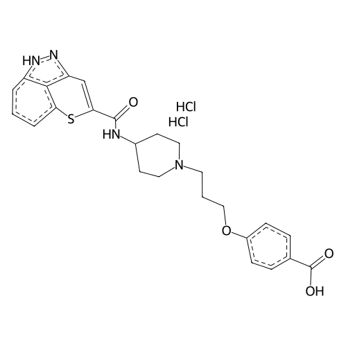 Cl.Cl.O=C(NC1CCN(CCCOc2ccc(C(=O)O)cc2)CC1)C1=Cc2n[nH]c3cccc(c23)S1